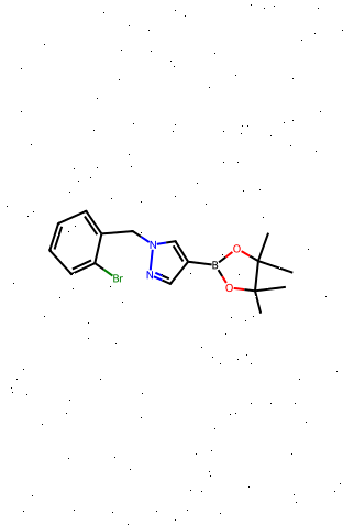 CC1(C)OB(c2cnn(Cc3ccccc3Br)c2)OC1(C)C